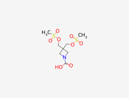 CS(=O)(=O)OCC1(COS(C)(=O)=O)CN(C(=O)O)C1